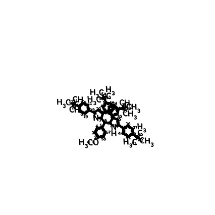 COc1ccc(C(C2N=C(c3ccc(C(C)(C)C)cc3)C=C2c2ccc(C(C)(C)C)cc2)C2NC(c3ccc(C(C)(C)C)cc3)=CC2c2ccc(C(C)(C)C)cc2)cc1